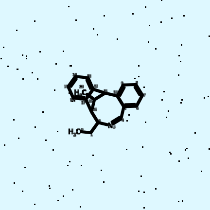 CCC1/N=C\c2ccccc2C2c3ccccc3C1C2C